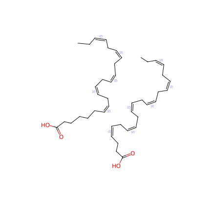 CC/C=C\C/C=C\C/C=C\C/C=C\C/C=C\C/C=C\CCC(=O)O.CC/C=C\C/C=C\C/C=C\C/C=C\C/C=C\CCCCCC(=O)O